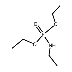 CCNP(=O)(OCC)OCC